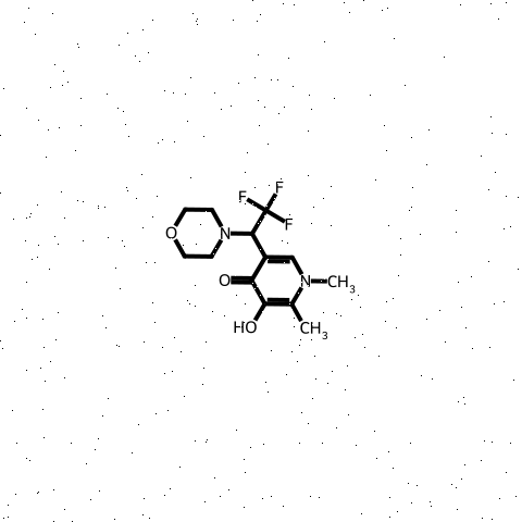 Cc1c(O)c(=O)c(C(N2CCOCC2)C(F)(F)F)cn1C